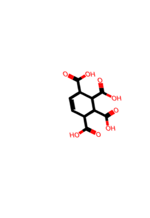 O=C(O)C1C=CC(C(=O)O)C(C(=O)O)C1C(=O)O